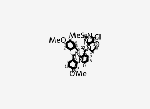 COc1ccc(CN(Cc2ccc(OC)cc2)c2ncccc2[C@@H](C)N2CCOc3c(Cl)nc(SC)nc32)cc1